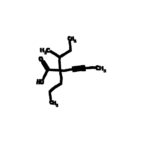 CC#CC(CCC)(C(=O)O)C(C)CC